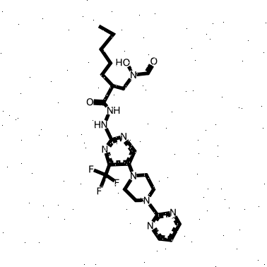 CCCCCC(CN(O)C=O)C(=O)NNc1ncc(N2CCN(c3ncccn3)CC2)c(C(F)(F)F)n1